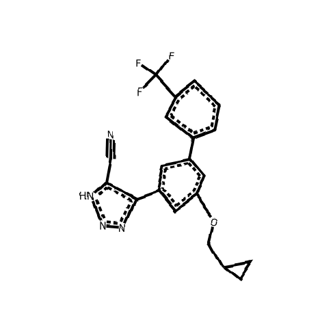 N#Cc1[nH]nnc1-c1cc(OCC2CC2)cc(-c2cccc(C(F)(F)F)c2)c1